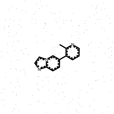 Cc1ncccc1-c1ccc2nccn2c1